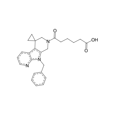 O=C(O)CCCCC(=O)N1Cc2c(c3cccnc3n2Cc2ccccc2)C2(CC2)C1